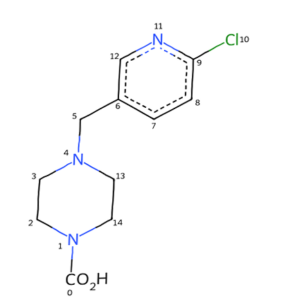 O=C(O)N1CCN(Cc2ccc(Cl)nc2)CC1